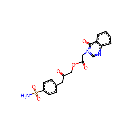 NS(=O)(=O)c1ccc(CC(=O)COC(=O)Cn2cnc3ccccc3c2=O)cc1